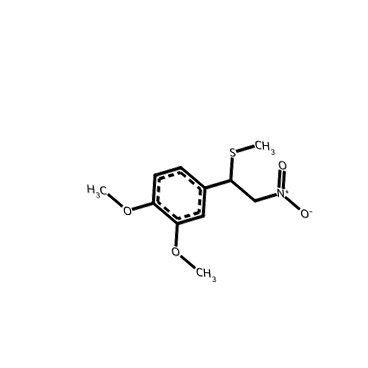 COc1ccc(C(C[N+](=O)[O-])SC)cc1OC